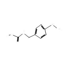 CNc1ccc(CNC(=O)OC)cc1